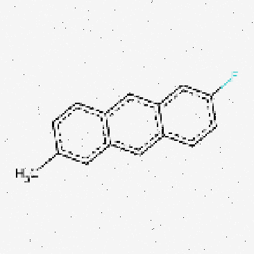 Cc1ccc2cc3cc(F)ccc3cc2c1